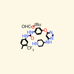 CC(C)(C)OC=O.Cc1ccc(NC(=O)Nc2ccc(Oc3cc(NC4CCNCC4)ncn3)cc2)cc1C(F)(F)F